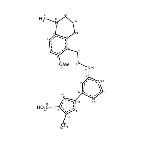 COc1ccc2c(c1CCNc1cc(-c3cc(C(F)(F)F)c(C(=O)O)s3)ncn1)CCCN2C